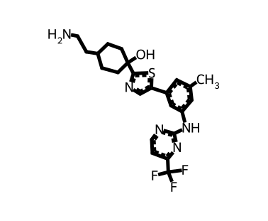 Cc1cc(Nc2nccc(C(F)(F)F)n2)cc(-c2cnc(C3(O)CCC(CCN)CC3)s2)c1